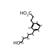 O=C(O)CCc1cccc(CCCCCO)c1